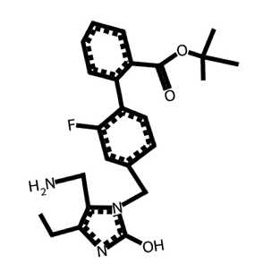 CCc1nc(O)n(Cc2ccc(-c3ccccc3C(=O)OC(C)(C)C)c(F)c2)c1CN